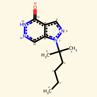 CCCCC(C)(C)n1ncc2c(=O)[nH]ncc21